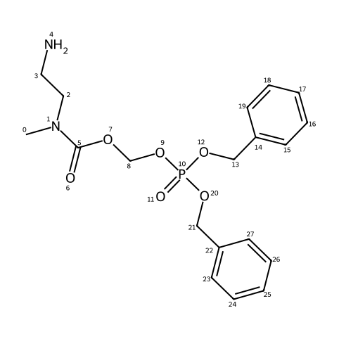 CN(CCN)C(=O)OCOP(=O)(OCc1ccccc1)OCc1ccccc1